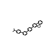 CC(C)c1ccc(-c2cccc(-c3ccc(-c4ccc5c(c4)oc4ccccc45)cc3)c2)cc1